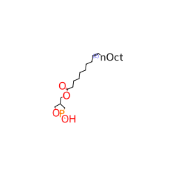 CCCCCCCC/C=C\CCCCCCCC(=O)OCC1COP(O)C1